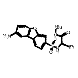 CC(C)C(NS(=O)(=O)c1ccc2c(c1)oc1ccc(N)cc12)C(=O)OC(C)(C)C